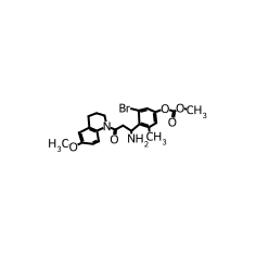 COC(=O)Oc1cc(C)c(C(N)CC(=O)N2CCCc3cc(OC)ccc32)c(Br)c1